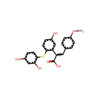 COc1ccc(/C=C(/C(=O)O)c2cc(O)ccc2Sc2ccc(O)cc2O)cc1